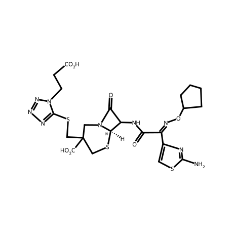 Nc1nc(C(=NOC2CCCC2)C(=O)NC2C(=O)N3CC(CSc4nnnn4CCC(=O)O)(C(=O)O)CS[C@H]23)cs1